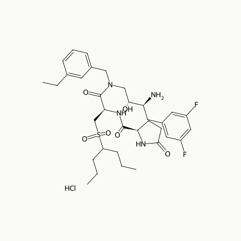 CCCC(CCC)S(=O)(=O)C[C@H](NC(=O)[C@H]1CCC(=O)N1)C(=O)N(Cc1cccc(CC)c1)C[C@@H](O)[C@@H](N)Cc1cc(F)cc(F)c1.Cl